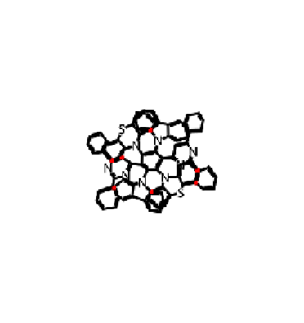 c1ccc(-c2cc(-c3c(N4c5ccccc5Sc5ccccc54)c(-n4c5ccccc5c5ccccc54)c(-c4cc(-c5ccccc5)nc(-c5ccccc5)n4)c(N4c5ccccc5Sc5ccccc54)c3-n3c4ccccc4c4ccccc43)nc(-c3ccccc3)n2)cc1